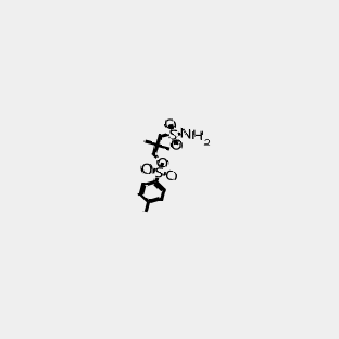 Cc1ccc(S(=O)(=O)OCC(C)(C)CS(N)(=O)=O)cc1